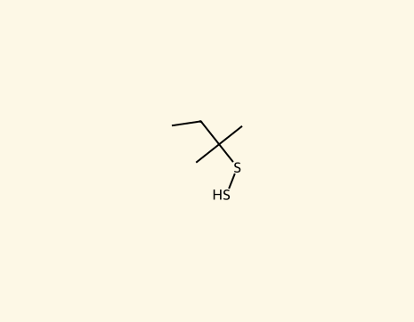 CCC(C)(C)SS